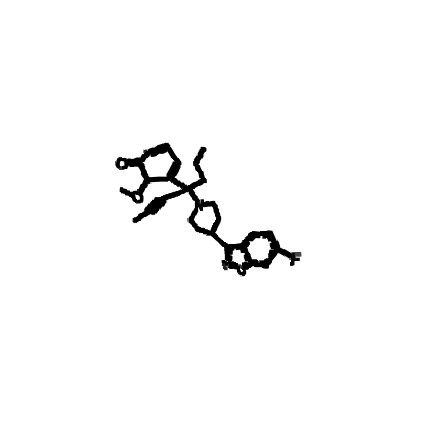 CC#CC(CCC)(C1=CC=[C]C(=O)C1OC)N1CCC(c2noc3cc(F)ccc23)CC1